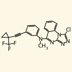 CN(c1cccc(C#CC2(C(F)(F)F)CC2)c1)c1nc2nnc(Cl)n2c2ccccc12